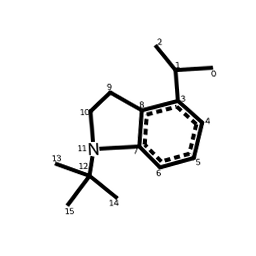 CC(C)c1cccc2c1CCN2C(C)(C)C